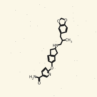 CC(CNC1Cc2ccc(Oc3ccc(C(N)=O)cn3)cc2C1)Cc1ccc2c(c1)OCO2